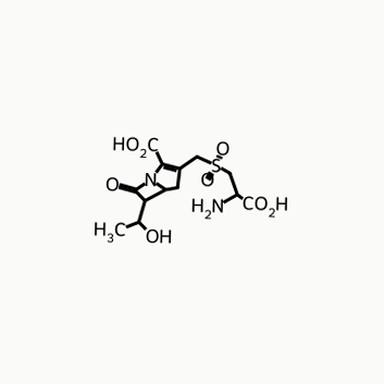 CC(O)C1C(=O)N2C(C(=O)O)=C(CS(=O)(=O)CC(N)C(=O)O)CC12